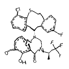 C[C@@H](N1CN([C@H]2c3cc(F)ccc3CSc3c(Cl)cccc32)n2ccc(=O)c(O)c2C1=O)C(F)(F)F